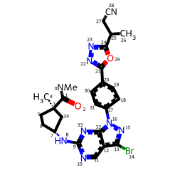 CNC(=O)[C@]1(C)CC[C@@H](Nc2ncc3c(Br)nn(-c4ccc(-c5nnc(C(C)CC#N)o5)cc4)c3n2)C1